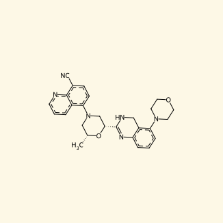 C[C@@H]1CN(c2ccc(C#N)c3ncccc23)C[C@H](C2=Nc3cccc(N4CCOCC4)c3CN2)O1